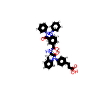 O=C(O)CCc1ccc(NC(=O)[C@H](Cc2ccccc2)NC(=O)c2ccc3c(c2)c(=O)n(-c2ccccc2)n3C2CCCCC2)cc1